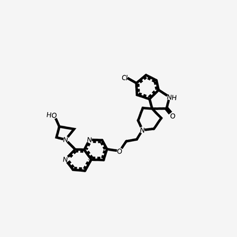 O=C1Nc2ccc(Cl)cc2C12CCN(CCOc1cnc3c(N4CC(O)C4)nccc3c1)CC2